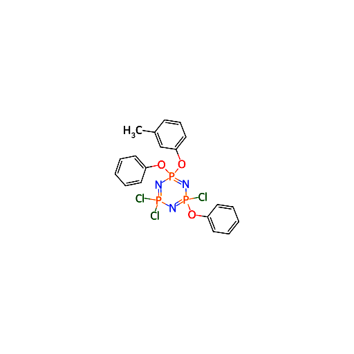 Cc1cccc(OP2(Oc3ccccc3)=NP(Cl)(Oc3ccccc3)=NP(Cl)(Cl)=N2)c1